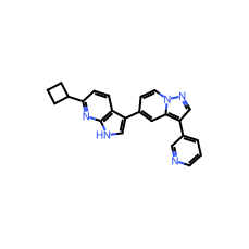 c1cncc(-c2cnn3ccc(-c4c[nH]c5nc(C6CCC6)ccc45)cc23)c1